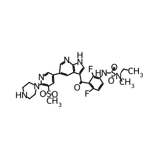 CCN(C)S(=O)(=O)Nc1ccc(F)c(C(=O)c2c[nH]c3ncc(-c4cnc(N5CCNCC5)c(S(C)(=O)=O)c4)cc23)c1F